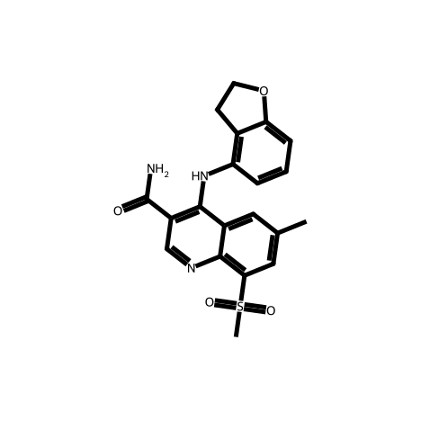 Cc1cc(S(C)(=O)=O)c2ncc(C(N)=O)c(Nc3cccc4c3CCO4)c2c1